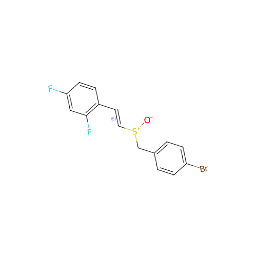 [O-][S+](/C=C/c1ccc(F)cc1F)Cc1ccc(Br)cc1